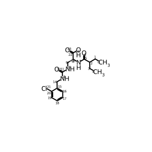 CCC(CC)C(=O)N[C@@H](CNC(=O)NCc1ccccc1Cl)C(=O)O